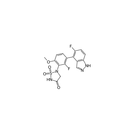 COc1ccc(-c2c(F)ccc3[nH]ncc23)c(F)c1N1CC(=O)NS1(=O)=O